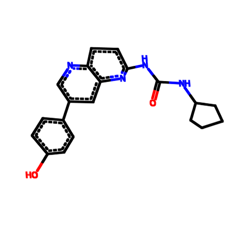 O=C(Nc1ccc2ncc(-c3ccc(O)cc3)cc2n1)NC1CCCC1